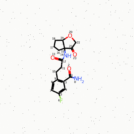 NC(=O)c1cc(F)ccc1C[CH]C(=O)NC12CCCC1OCC2=O